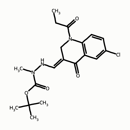 CCC(=O)N1CC(=CNN(C)C(=O)OC(C)(C)C)C(=O)c2cc(Cl)ccc21